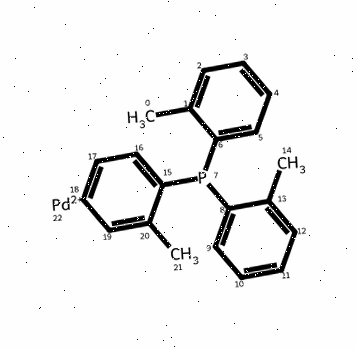 Cc1ccccc1P(c1ccccc1C)c1ccccc1C.[Pd+2]